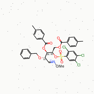 CO/N=C/[C@H](OCc1ccccc1)[C@@H](OC(=O)c1ccc(C)cc1)[C@@H](COC(=O)c1ccc(C)cc1)OS(=O)(=O)c1cc(Cl)c(Cl)cc1Cl